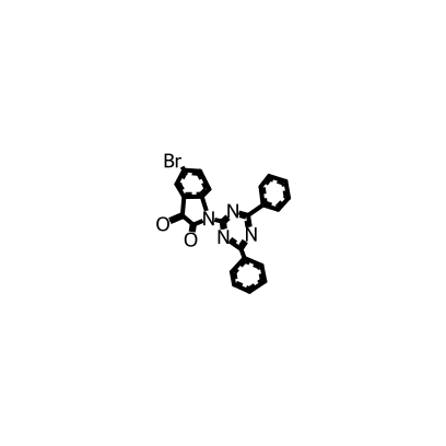 O=C1C(=O)N(c2nc(-c3ccccc3)nc(-c3ccccc3)n2)c2ccc(Br)cc21